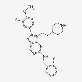 COc1ccc(-c2nc3cnc(NCc4ccccc4F)nc3n2CCC2CCNCC2)cc1F